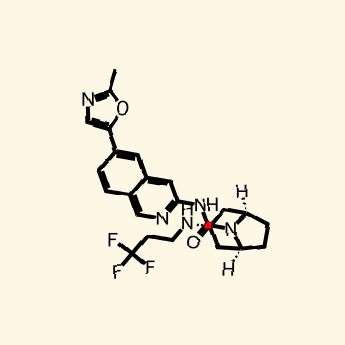 Cc1ncc(-c2ccc3cnc(NC(=O)N4[C@@H]5CC[C@H]4C[C@H](NCCC(F)(F)F)C5)cc3c2)o1